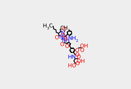 CCCCCC(C(=O)NCNC(=O)c1ccc(-c2ccc(C(=O)NC(CC(=O)O)C(=O)O)c(OCC(=O)O)c2)o1)C(CC)N(C=O)OC(=O)c1ccccc1N